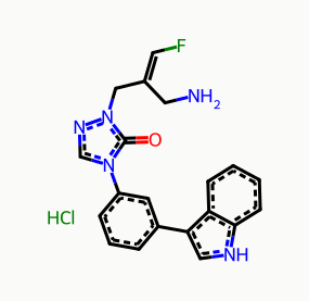 Cl.NC/C(=C\F)Cn1ncn(-c2cccc(-c3c[nH]c4ccccc34)c2)c1=O